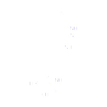 CC(C)S(=O)(=O)NC1CCC(CNc2cc(-c3ccco3)[nH]n2)CC1